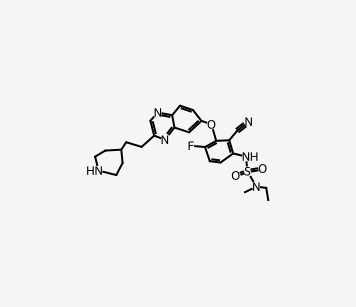 CCN(C)S(=O)(=O)Nc1ccc(F)c(Oc2ccc3ncc(CCC4CCNCC4)nc3c2)c1C#N